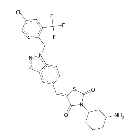 NC1CCCC(N2C(=O)S/C(=C\c3ccc4c(cnn4Cc4ccc(Cl)cc4C(F)(F)F)c3)C2=O)C1